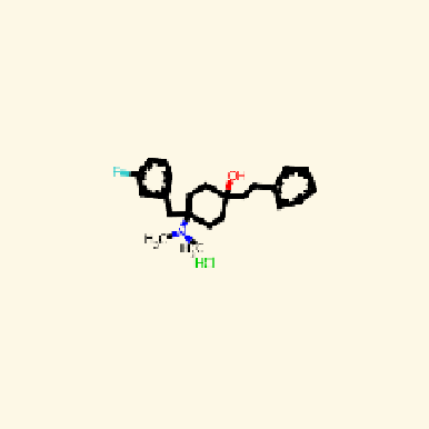 CN(C)C1(Cc2cccc(F)c2)CCC(O)(CCc2ccccc2)CC1.Cl